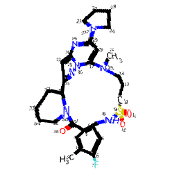 Cc1cc2c(cc1F)NS(=O)(=O)CCCN(C)c1cc(N3CCCC3)nc3cc(nn13)C1CCCCN1C2=O